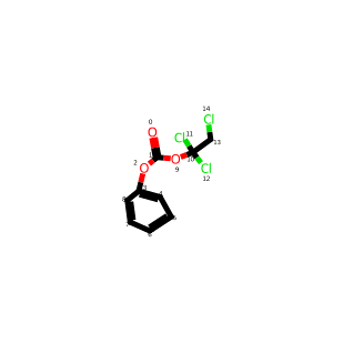 O=C(Oc1cc[c]cc1)OC(Cl)(Cl)CCl